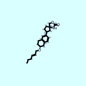 CCC/C=C/CO[C@H]1CCc2cc(C3CCC4(COC(=O)N4)C3)ccc2C1